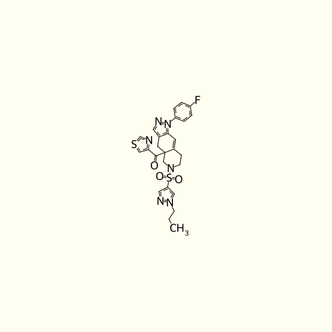 CCCn1cc(S(=O)(=O)N2CCC3=Cc4c(cnn4-c4ccc(F)cc4)CC3(C(=O)c3cscn3)C2)cn1